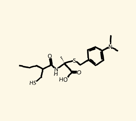 CCCC(CS)C(=O)N[C@@](C)(SCc1ccc(N(C)C)cc1)C(=O)O